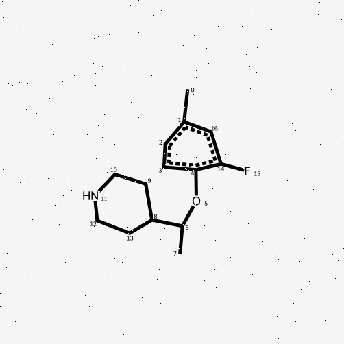 Cc1ccc(OC(C)C2CCNCC2)c(F)c1